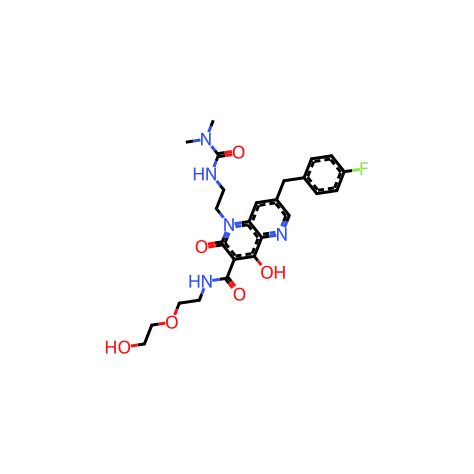 CN(C)C(=O)NCCn1c(=O)c(C(=O)NCCOCCO)c(O)c2ncc(Cc3ccc(F)cc3)cc21